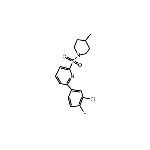 CC1CCN(S(=O)(=O)c2cccc(-c3ccc(F)c(Cl)c3)n2)CC1